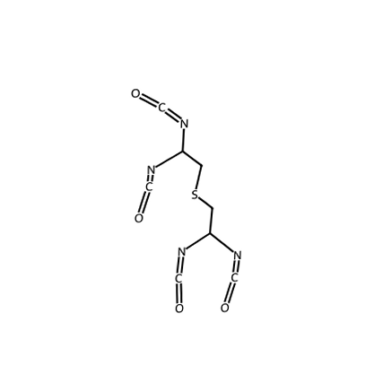 O=C=NC(CSCC(N=C=O)N=C=O)N=C=O